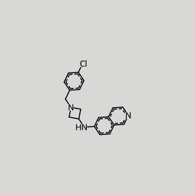 Clc1ccc(CN2CC(Nc3ccc4cnccc4c3)C2)cc1